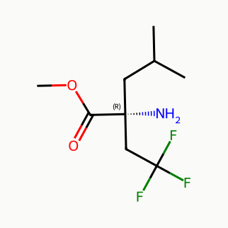 COC(=O)[C@@](N)(CC(C)C)CC(F)(F)F